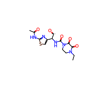 CCN1CCN(C(=O)NC([C]=O)c2csc(NC(C)=O)n2)C(=O)C1=O